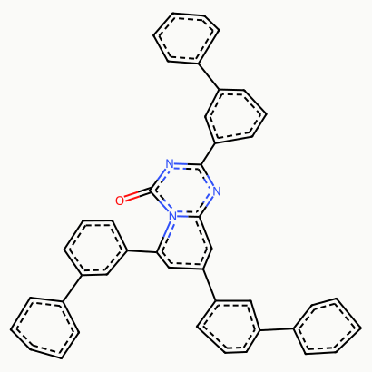 O=c1nc(-c2cccc(-c3ccccc3)c2)nc2cc(-c3cccc(-c4ccccc4)c3)cc(-c3cccc(-c4ccccc4)c3)n12